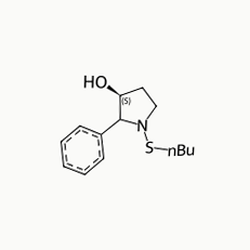 CCCCSN1CC[C@H](O)C1c1ccccc1